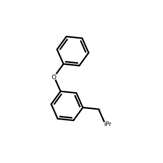 CC(C)[CH]c1cccc(Oc2ccccc2)c1